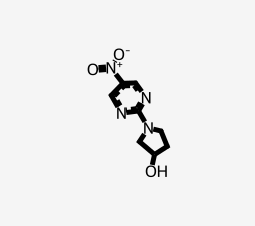 O=[N+]([O-])c1cnc(N2CCC(O)C2)nc1